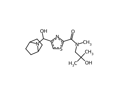 CN(CC(C)(C)O)C(=O)c1nc(C(O)N2C3CCC2CC3)cs1